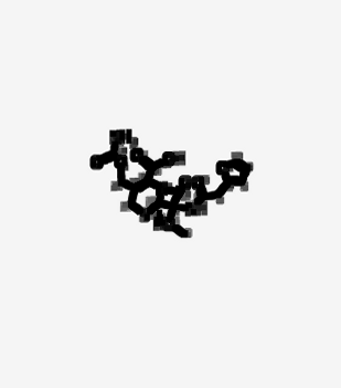 CO[C@@]1(NC(=O)Cc2ccco2)C(=O)N2C(C(=O)O)=C(COC(N)=O)CS[C@@H]21